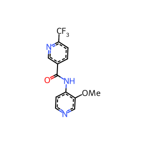 COc1cnccc1NC(=O)c1ccc(C(F)(F)F)nc1